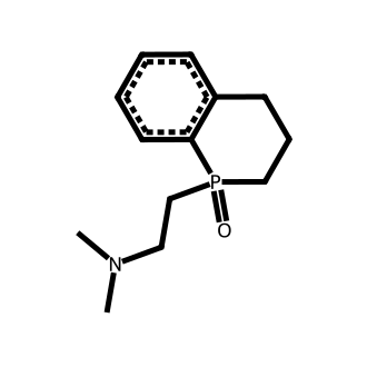 CN(C)CCP1(=O)CCCc2ccccc21